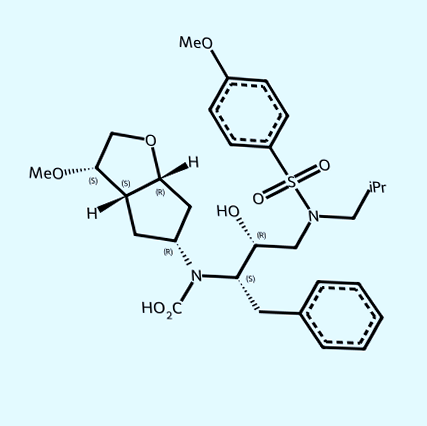 COc1ccc(S(=O)(=O)N(CC(C)C)C[C@@H](O)[C@H](Cc2ccccc2)N(C(=O)O)[C@@H]2C[C@@H]3[C@H](OC)CO[C@@H]3C2)cc1